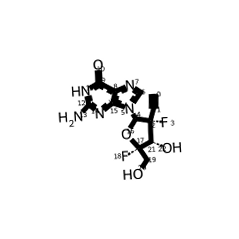 C#C[C@]1(F)C(n2cnc3c(=O)[nH]c(N)nc32)O[C@](F)(CO)[C@H]1O